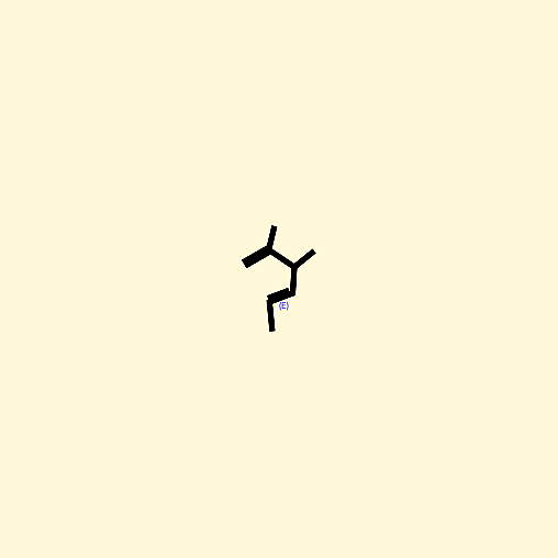 C=C(C)C(C)/C=C/C